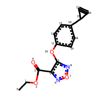 CCOC(=O)c1nonc1Oc1ccc(C2C#C2)cc1